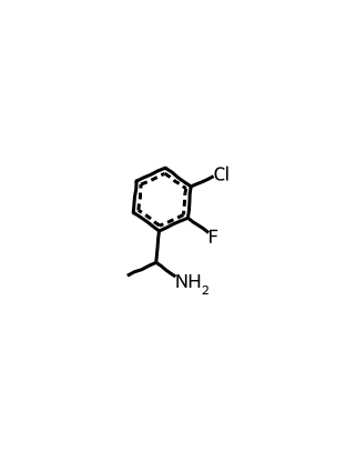 CC(N)c1cccc(Cl)c1F